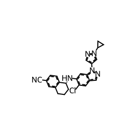 N#Cc1ccc2c(c1)CCC[C@H]2Nc1cc2c(cnn2-c2cnn(C3CC3)c2)cc1Cl